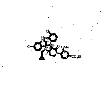 CCOC(=O)c1ccc(N2CC[C@H]3[C@@H](C2=O)[C@H](c2cccc(Cl)c2F)[C@]2(C(=O)Nc4cc(Cl)ccc42)N3CC2CC2)c(OC)c1